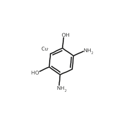 Nc1cc(N)c(O)cc1O.[Cu]